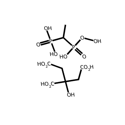 CC(P(=O)(O)O)P(=O)(O)OO.O=C(O)CC(O)(CC(=O)O)C(=O)O